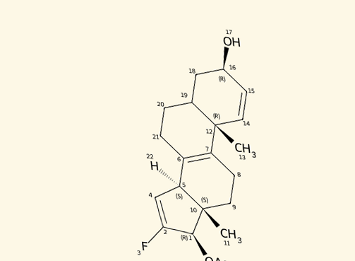 CC(=O)O[C@H]1C(F)=C[C@H]2C3=C(CC[C@@]21C)[C@@]1(C)C=C[C@H](O)CC1CC3